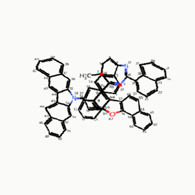 CC1C/C=C(c2ccc(-c3ccccc3)cc2)/N=C(c2cccc3ccccc23)\N=C/1c1cc(-n2c3cc4ccccc4cc3c3cc4ccccc4cc32)cc2oc3c4ccccc4ccc3c12